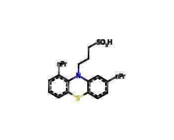 CCCc1ccc2c(c1)N(CCCS(=O)(=O)O)c1c(CCC)cccc1S2